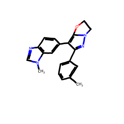 Cc1cccc(-c2nn3c(c2-c2ccc4ncn(C)c4c2)OCC3)c1